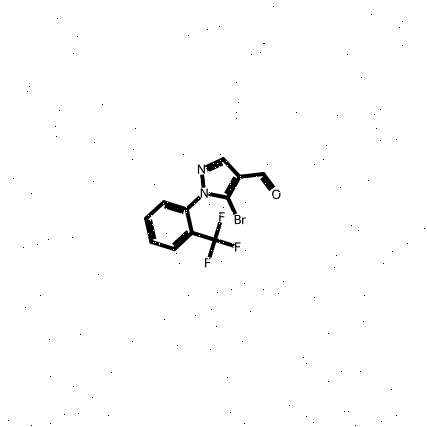 O=Cc1cnn(-c2ccccc2C(F)(F)F)c1Br